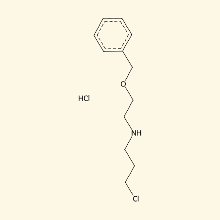 Cl.ClCCCNCCOCc1ccccc1